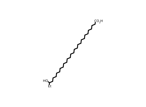 CCC(O)CCCCCCCCCCCCCCCCCCCCCCCCCC(=O)O